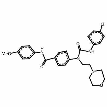 COc1ccc(NC(=O)c2ccc(N(CCN3CCOCC3)C(=O)Nc3ccc(Cl)cc3)cc2)cc1